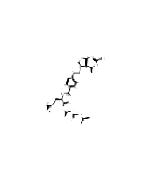 CC(C)OC(=O)OC(C)OC(=O)C(CCC(=O)O)NC(=O)c1ccc(CCc2c[nH]c3nc(N)[nH]c(=O)c23)cc1